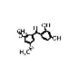 COc1cc(OC)cc(C(=O)c2ccc(O)cc2O)c1